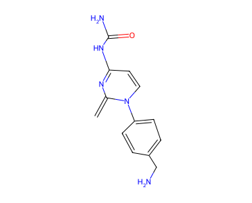 C=C1N=C(NC(N)=O)C=CN1c1ccc(CN)cc1